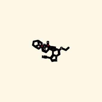 C#CC(=O)NC1CC2CCC(C1)N2c1ccc(-c2cc(OCC)cn3ncc(C#N)c23)cn1